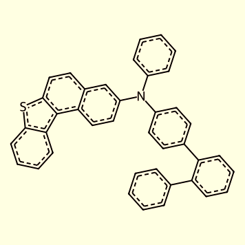 c1ccc(-c2ccccc2-c2ccc(N(c3ccccc3)c3ccc4c(ccc5sc6ccccc6c54)c3)cc2)cc1